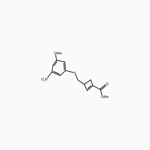 COC(=O)C1=CC(COc2cc(OC)cc([N+](=O)[O-])c2)C1